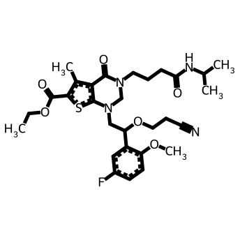 CCOC(=O)c1sc2c(c1C)C(=O)N(CCCC(=O)NC(C)C)CN2CC(OCCC#N)c1cc(F)ccc1OC